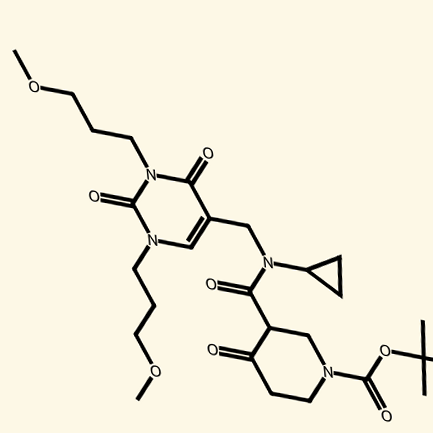 COCCCn1cc(CN(C(=O)C2CN(C(=O)OC(C)(C)C)CCC2=O)C2CC2)c(=O)n(CCCOC)c1=O